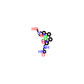 COc1nc(-c2cccc(-c3cccc(-c4ccc5c(n4)OCCN(CCO)C5)c3Cl)c2Cl)ccc1CNCC1CCC(=O)N1